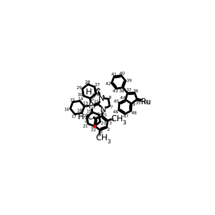 Cc1cc(C)c(N2CCN(C)C2=P(C2CCCCC2)(C2CCCCC2)C2CCCCC2)c(C)c1.[Ru]=[C]1C=C(c2ccccc2)c2ccccc21